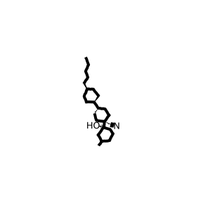 CCCCC[C@H]1CC[C@@H]([C@H]2CC[C@](C#N)([C@@]3(O)CCCC(C)C3)CC2)CC1